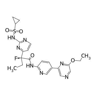 CCOc1cncc(-c2ccc(NC(=O)[C@](F)(CC)c3ccnc(NS(=O)(=O)C4CC4)n3)nc2)n1